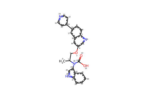 CC(COc1cnc2ccc(-c3ccncc3)cc2c1)N(C(=O)O)c1c[nH]c2ccccc12